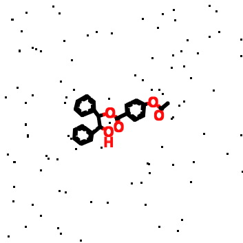 CC(=O)Oc1ccc(C(=O)OC(c2ccccc2)C(O)c2ccccc2)cc1